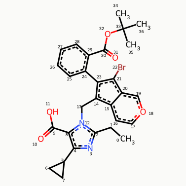 CCc1nc(C2CC2)c(C(=O)O)n1Cc1c2ccocc-2c(Br)c1-c1ccccc1C(=O)OC(C)(C)C